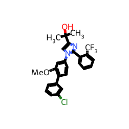 COc1cc(-n2cc(C(C)(C)O)nc2-c2ccccc2C(F)(F)F)ccc1-c1cccc(Cl)c1